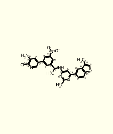 Cc1nc(NC(C)c2cc(-c3cnc(Cl)c(N)c3)cc([N+](=O)[O-])c2)cc(-c2ccc3occ(C)c3c2)n1